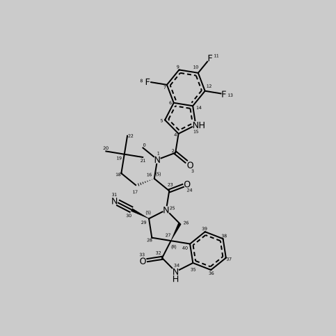 CN(C(=O)c1cc2c(F)cc(F)c(F)c2[nH]1)[C@@H](CCC(C)(C)C)C(=O)N1C[C@]2(C[C@H]1C#N)C(=O)Nc1ccccc12